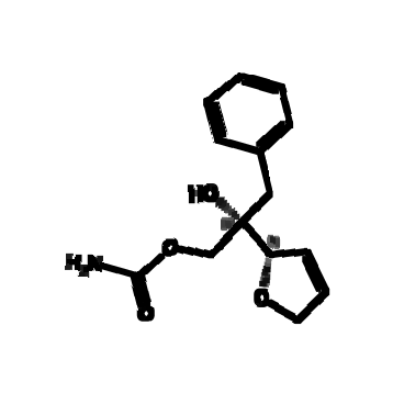 NC(=O)OC[C@@](O)(Cc1ccccc1)[C@@H]1C=CCO1